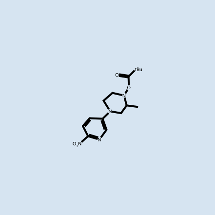 CC1CN(c2ccc([N+](=O)[O-])nc2)CCN1OC(=O)C(C)(C)C